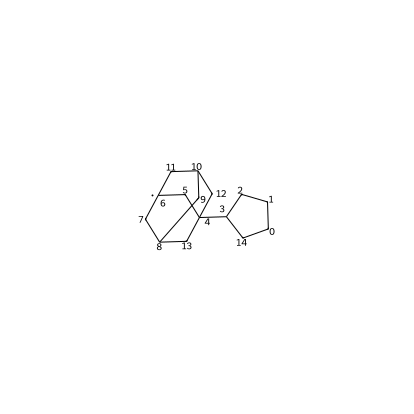 C1CCC(C23C[C]4CC(CC(C4)C2)C3)C1